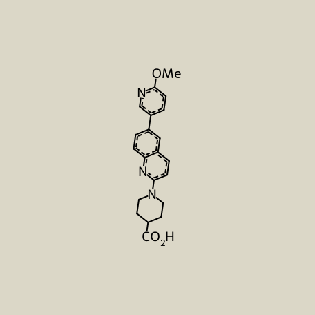 COc1ccc(-c2ccc3nc(N4CCC(C(=O)O)CC4)ccc3c2)cn1